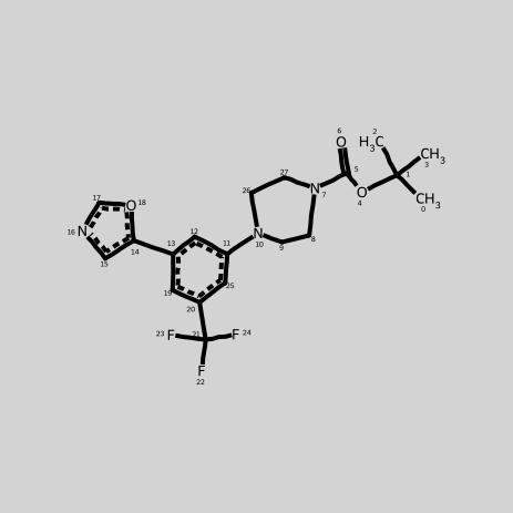 CC(C)(C)OC(=O)N1CCN(c2cc(-c3cnco3)cc(C(F)(F)F)c2)CC1